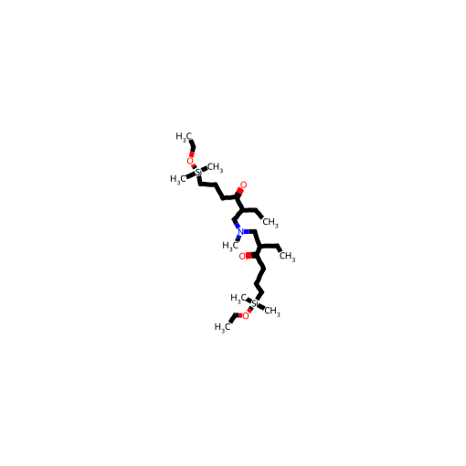 CCO[Si](C)(C)CCCC(=O)C(CC)CN(C)CC(CC)C(=O)CCC[Si](C)(C)OCC